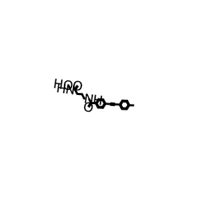 Cc1ccc(C#Cc2ccc(C(=O)NCCCC(=O)NO)cc2)cc1